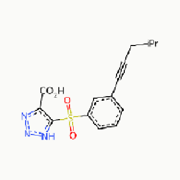 CC(C)CC#Cc1cccc(S(=O)(=O)c2[nH]nnc2C(=O)O)c1